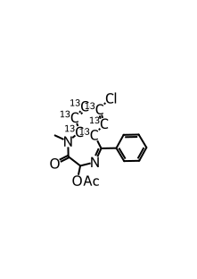 CC(=O)OC1N=C(c2ccccc2)[13c]2[13cH][13c](Cl)[13cH][13cH][13c]2N(C)C1=O